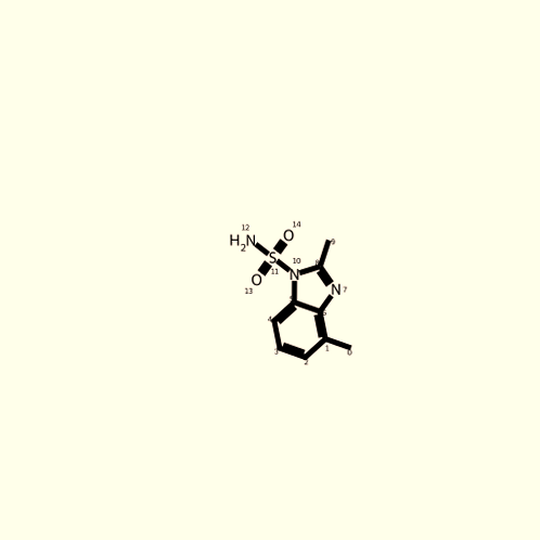 Cc1cccc2c1nc(C)n2S(N)(=O)=O